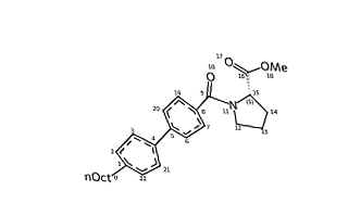 CCCCCCCCc1ccc(-c2ccc(C(=O)N3CCC[C@H]3C(=O)OC)cc2)cc1